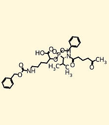 CC(=O)CCCC(=O)N[C@H](C(C)C)P(=O)(OCc1ccccc1)OC(CCCCNC(=O)OCc1ccccc1)C(=O)O